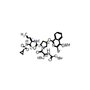 C=C/C=C(/NC(=O)[C@@H]1C[C@@H](Oc2nc(Br)c(OC)c3ccccc23)CN1C(=O)[C@@H](NC(=O)OC(C)(C)C)C(C)(C)C)C(=O)NS(=O)(=O)C1CC1